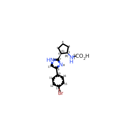 O=C(O)N[C@@H]1CCC[C@@H]1c1nc(-c2ccc(Br)cc2)c[nH]1